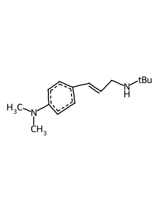 CN(C)c1ccc(/C=C/CNC(C)(C)C)cc1